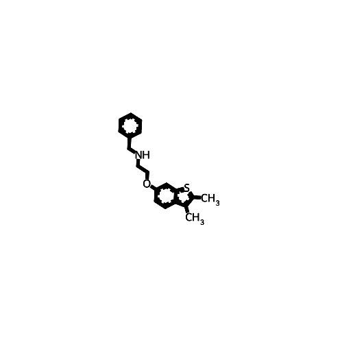 Cc1sc2cc(OCCNCc3ccccc3)ccc2c1C